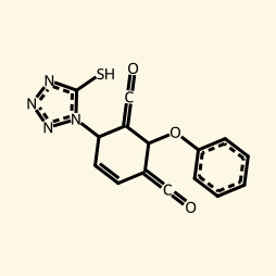 O=C=C1C=CC(n2nnnc2S)C(=C=O)C1Oc1ccccc1